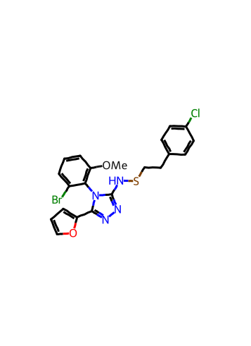 COc1cccc(Br)c1-n1c(NSCCc2ccc(Cl)cc2)nnc1-c1ccco1